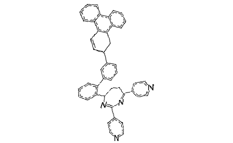 C1=CC(c2cccc(-c3ccccc3C3CCC(c4ccncc4)=NC(c4ccncc4)=N3)c2)Cc2c1c1ccccc1c1ccccc21